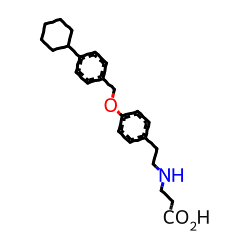 O=C(O)CCNCCc1ccc(OCc2ccc(C3CCCCC3)cc2)cc1